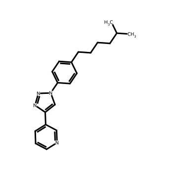 CC(C)CCCCc1ccc(-n2cc(-c3cccnc3)nn2)cc1